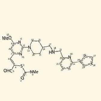 CNC(=O)S/C(C=O)=C\c1cc(OC)nc(N2CCC(CNCc3cccc(-c4ccsc4)n3)CC2)n1